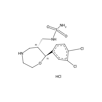 Cl.NS(=O)(=O)NC[C@H]1CNCCO[C@@H]1c1ccc(Cl)c(Cl)c1